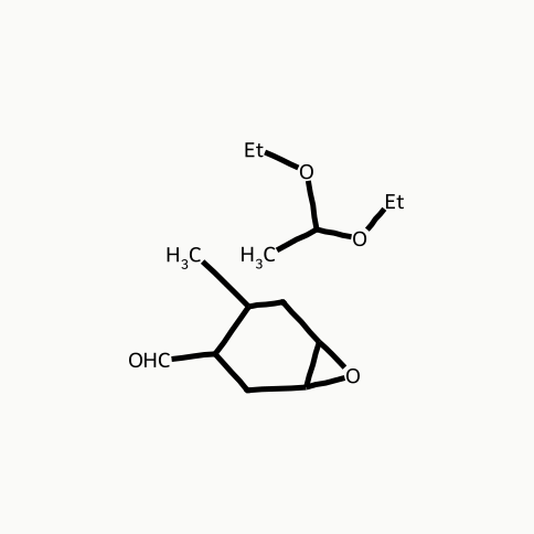 CC1CC2OC2CC1C=O.CCOC(C)OCC